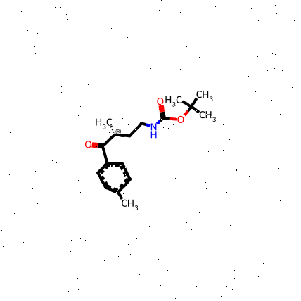 Cc1ccc(C(=O)[C@H](C)CCNC(=O)OC(C)(C)C)cc1